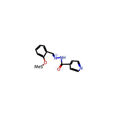 CSOc1ccccc1/C=N/NC(=O)c1ccncc1